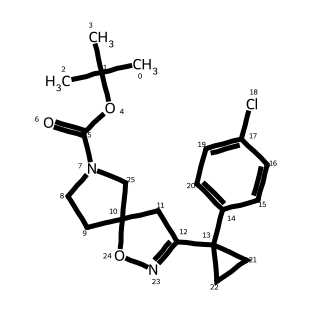 CC(C)(C)OC(=O)N1CCC2(CC(C3(c4ccc(Cl)cc4)CC3)=NO2)C1